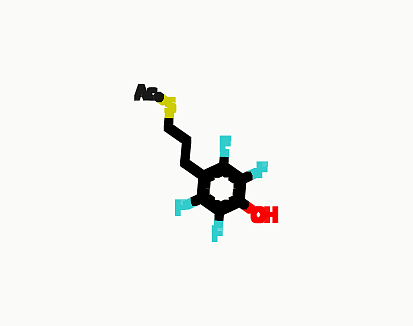 CC(=O)SCCCc1c(F)c(F)c(O)c(F)c1F